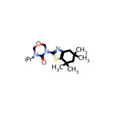 CC(C)N1COCN(c2nc3c(s2)C(C)(C)CC(C)(C)C3)C1=O